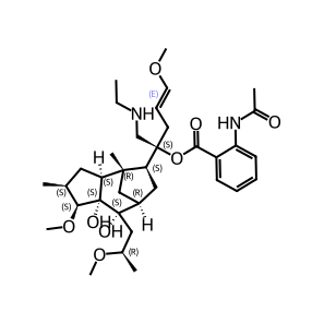 CCNC[C@@](C/C=C/OC)(OC(=O)c1ccccc1NC(C)=O)[C@H]1C[C@@H]2C[C@]1(C)[C@@H]1C[C@H](C)[C@H](OC)[C@]1(O)[C@]2(O)C[C@@H](C)OC